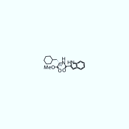 COC(=O)[C@H](CC1CCCCC1)NC(=O)c1cc2ccccc2[nH]1